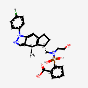 C[C@H]1C2=CNN(c3ccc(F)cc3)C2=CC2=C1[C@@H](CN(CCO)S(=O)(=O)c1ccccc1C(=O)O)CC2